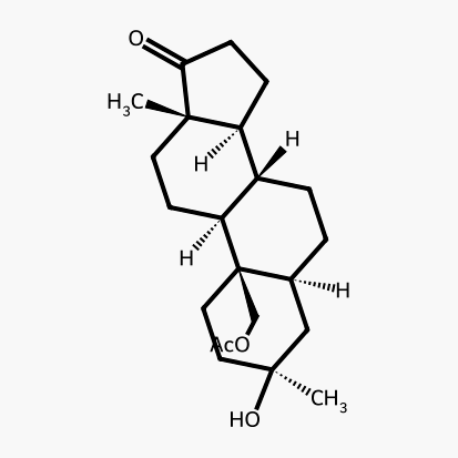 CC(=O)OC[C@]12CC[C@](C)(O)C[C@@H]1CC[C@@H]1[C@@H]2CC[C@]2(C)C(=O)CC[C@@H]12